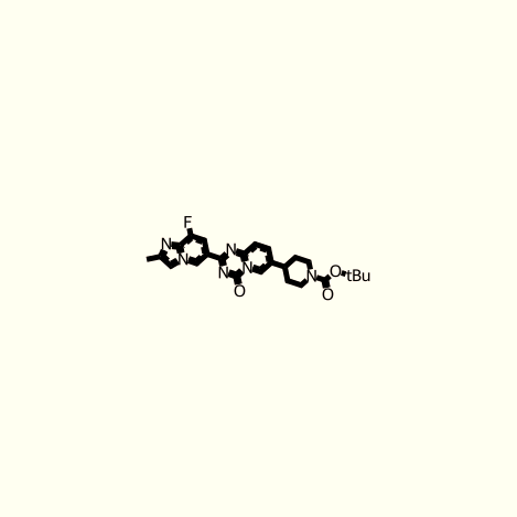 Cc1cn2cc(-c3nc(=O)n4cc(C5CCN(C(=O)OC(C)(C)C)CC5)ccc4n3)cc(F)c2n1